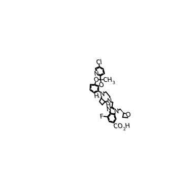 C[C@]1(c2ccc(Cl)cn2)Oc2cccc(N3CCN(Cc4nc5c(F)cc(C(=O)O)cc5n4C[C@@H]4CCO4)[C@@H]4CC[C@H]43)c2O1